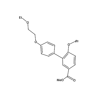 CCOCCOc1ccc(-c2cc(C(=O)OC)ccc2OC(C)C)cc1